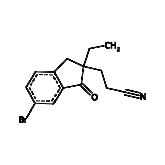 CCC1(CCC#N)Cc2ccc(Br)cc2C1=O